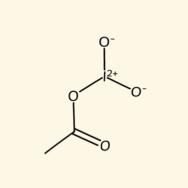 CC(=O)O[I+2]([O-])[O-]